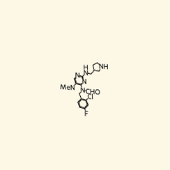 CNc1cnc(NCC2CCNC2)nc1N(C=O)Cc1ccc(F)cc1Cl